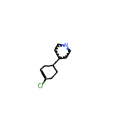 ClC1=CCC(c2ccncc2)CC1